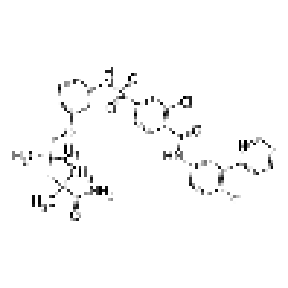 CC(C)(COc1cccc(NS(=O)(=O)c2ccc(C(=O)Nc3ccc(Cl)c(-c4ccccn4)c3)c(Cl)c2)c1)CC(C)(C)C(N)=O